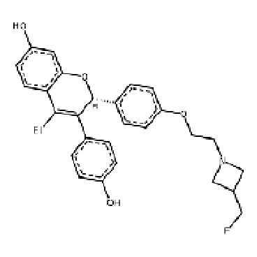 CCC1=C(c2ccc(O)cc2)[C@@H](c2ccc(OCCN3CC(CF)C3)cc2)Oc2cc(O)ccc21